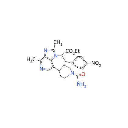 CCOC(=O)C(Cc1ccc([N+](=O)[O-])cc1)n1c(C)nc2c(C)ncc(C3CCN(C(N)=O)CC3)c21